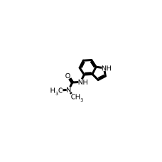 CN(C)C(=O)Nc1cccc2[nH]ccc12